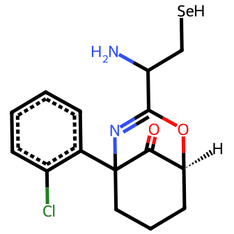 NC(C[SeH])C1=NC2(c3ccccc3Cl)CCC[C@H](O1)C2=O